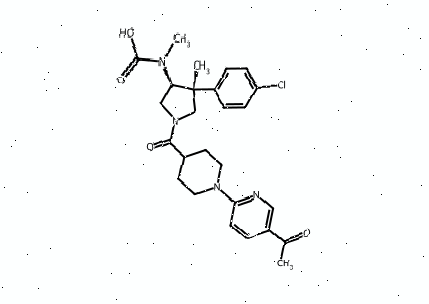 CC(=O)c1ccc(N2CCC(C(=O)N3C[C@@H](N(C)C(=O)O)[C@](C)(c4ccc(Cl)cc4)C3)CC2)nc1